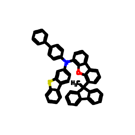 CC1(c2cccc3c2oc2c(N(c4ccc(-c5ccccc5)cc4)c4ccc5c(c4)sc4ccccc45)cccc23)c2ccccc2-c2ccccc21